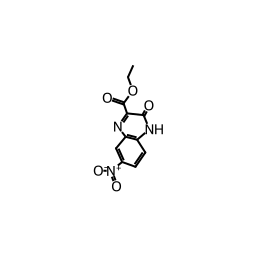 CCOC(=O)c1nc2cc([N+](=O)[O-])ccc2[nH]c1=O